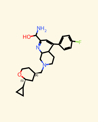 NC(O)C1=NC2CN(C[C@@H]3CCO[C@H](C4CC4)C3)CCC2C(c2ccc(F)cc2)=C1